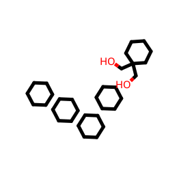 C1CCCCC1.C1CCCCC1.C1CCCCC1.C1CCCCC1.OCC1(CO)CCCCC1